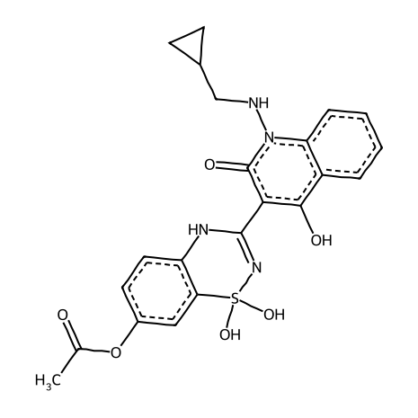 CC(=O)Oc1ccc2c(c1)S(O)(O)N=C(c1c(O)c3ccccc3n(NCC3CC3)c1=O)N2